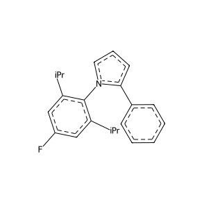 CC(C)c1cc(F)cc(C(C)C)c1-n1cccc1-c1ccccc1